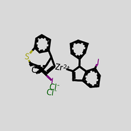 Ic1cccc2c1C(c1ccccc1)[C]([Zr+2][C]1=Cc3c4ccc(I)c3C1c1cccc(c1)S4)=C2.[Cl-].[Cl-]